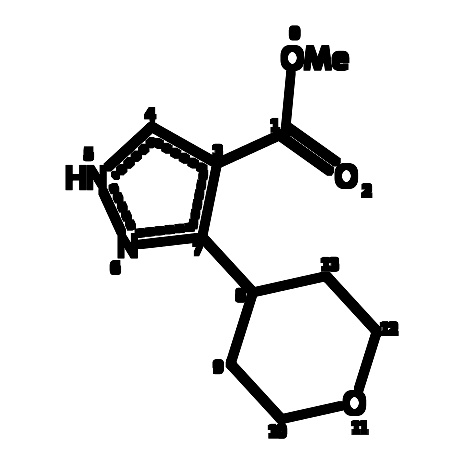 COC(=O)c1c[nH]nc1C1CCOCC1